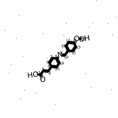 O=C(O)C=Cc1ccc(N=Cc2ccc(OO)cc2)cc1